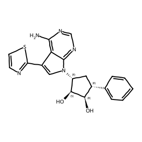 Nc1ncnc2c1c(-c1nccs1)cn2[C@@H]1C[C@H](c2ccccc2)[C@@H](O)[C@H]1O